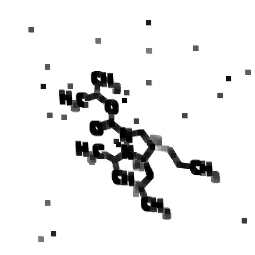 CCC[C@H]1CN(C(=O)OC(C)C)N(C(C)C)[C@@H]1CCC